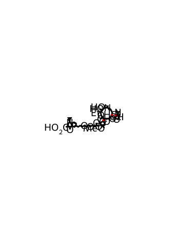 CC[C@H]1OC(=O)[C@H](C)[C@@H](O[C@H]2C[C@@](C)(OC)[C@@H](OC(=O)CCOCCOCCCc3ccc4c(c3)c(=O)c(C(=O)O)cn4C3CC3)[C@H](C)O2)[C@H](C)[C@@H](O[C@@H]2O[C@H](C)C[C@H](N(C)C)[C@H]2O)[C@](C)(O)CCCN(C)[C@H](C)[C@@H](O)[C@]1(C)O